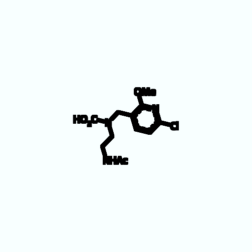 COc1nc(Cl)ccc1CN(CCNC(C)=O)C(=O)O